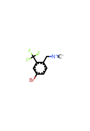 [C-]#[N+]Cc1ccc(Br)cc1C(F)(F)F